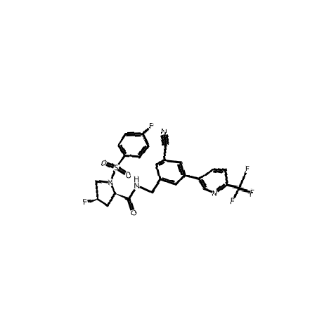 N#Cc1cc(CNC(=O)[C@H]2C[C@@H](F)CN2S(=O)(=O)c2ccc(F)cc2)cc(-c2ccc(C(F)(F)F)nc2)c1